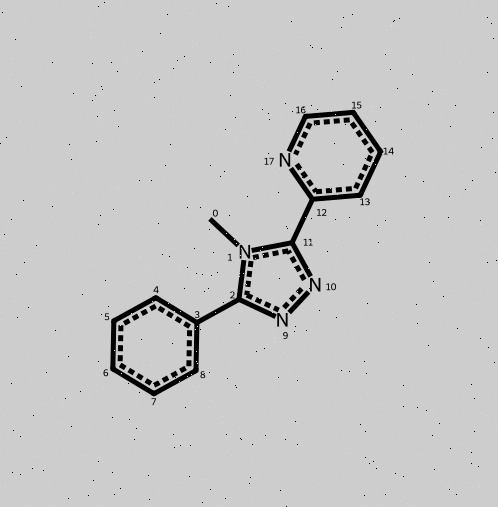 Cn1c(-c2ccccc2)nnc1-c1ccccn1